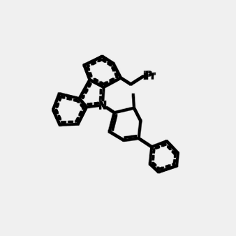 CC(C)Cc1cccc2c3ccccc3n(C3=CC=C(c4ccccc4)CC3C)c12